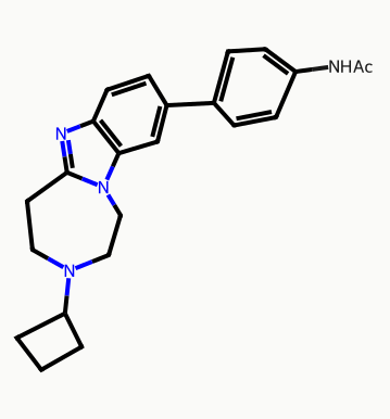 CC(=O)Nc1ccc(-c2ccc3nc4n(c3c2)CCN(C2CCC2)CC4)cc1